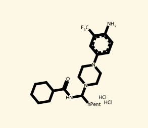 CCCCCC(NC(=O)C1CCCCC1)N1CCN(c2ccc(N)c(C(F)(F)F)c2)CC1.Cl.Cl